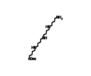 CCCCCCCCCCCCCCNCCCCNCCCCNCCCCN